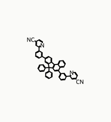 N#Cc1ccnc(-c2cccc(-c3ccc4c(c3)C(c3ccccc3)(c3ccccc3)c3cc(-c5cccc(-c6cc(C#N)ccn6)c5)c5ccccc5c3-4)c2)c1